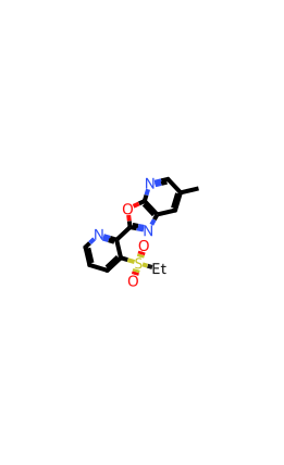 CCS(=O)(=O)c1cccnc1-c1nc2cc(C)cnc2o1